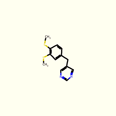 CSc1ccc(Cc2cncnc2)cc1SC